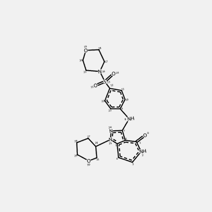 O=c1[nH]ccc2c1c(Nc1ccc(S(=O)(=O)N3CCOCC3)cc1)nn2C1CCCOC1